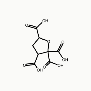 O=C(O)C1CC(C(=O)O)C(C(=O)O)(C(=O)O)O1